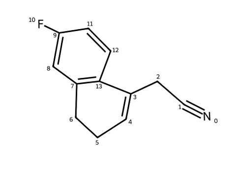 N#CCC1=CCCc2cc(F)ccc21